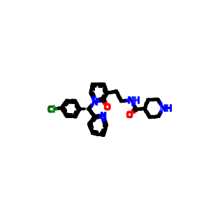 O=C(NCCc1cccn([C@@H](c2ccc(Cl)cc2)c2ccccn2)c1=O)C1CCNCC1